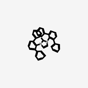 CC1N(c2c(-c3ccccc3)cccc2-c2ccccc2)C=CN1c1c(-c2ccccc2)cccc1-c1ccccc1